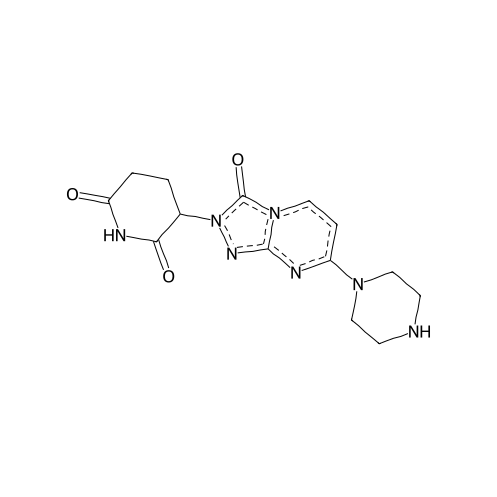 O=C1CCC(n2nc3nc(N4CCNCC4)ccn3c2=O)C(=O)N1